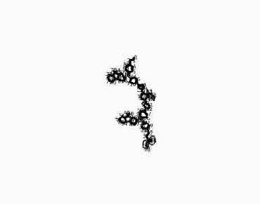 CCCc1ccc(N(c2ccc(-c3ccc(-c4ccc(-c5ccc(-c6ccc(N(c7ccc(CCC(=O)OC)cc7)c7ccc8c(c7)C(C)(C)c7ccccc7-8)cc6)s5)c5nsnc45)s3)cc2)c2ccc3c(c2)C(C)(C)c2ccccc2-3)cc1